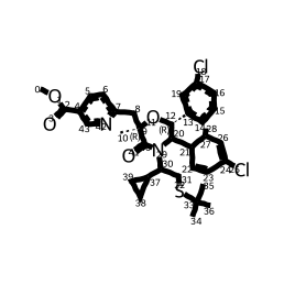 COC(=O)c1ccc(C[C@@]2(C)O[C@H](c3cccc(Cl)c3)C(C3C=CC(Cl)=CC3C)N(C(CSC(C)(C)C)C3CC3)C2=O)nc1